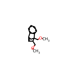 COCC1C=C2CC1(COC)c1ccccc12